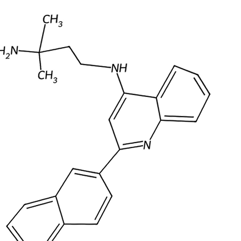 CC(C)(N)CCNc1cc(-c2ccc3ccccc3c2)nc2ccccc12